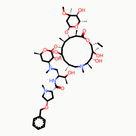 CC[C@H]1OC(=O)[C@H](C)[C@@H](O[C@H]2C[C@@](C)(OC)[C@@H](O)[C@H](C)O2)[C@H](C)[C@@H](O[C@@H]2O[C@H](C)C[C@H](N(C)C[C@H](NC(=O)[C@@H]3C[C@@H](OCc4ccccc4)CN3C)[C@H](C)O)[C@H]2O)[C@](C)(O)C[C@@H](C)CN(C)[C@H](C)[C@@H](O)[C@]1(C)O